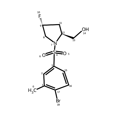 Cc1cc(S(=O)(=O)N2C[C@H](F)C[C@H]2CO)ccc1Br